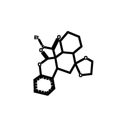 CCSC(=O)C12C(=O)Oc3ccccc3C1CC1(OCCO1)C1CCCCC12